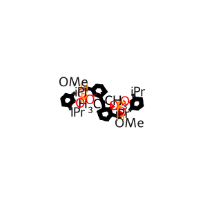 COC(=O)c1cccc(C(C)(C)c2cccc(C(=O)OC)c2OPOc2c(C(C)C)cccc2C(C)C)c1OPOc1c(C(C)C)cccc1C(C)C